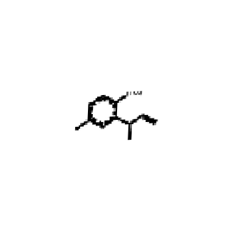 [CH2]C(C=C)c1cc(C)ccc1OC